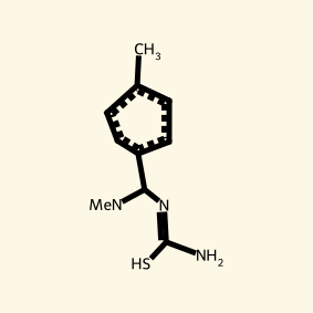 CNC(/N=C(/N)S)c1ccc(C)cc1